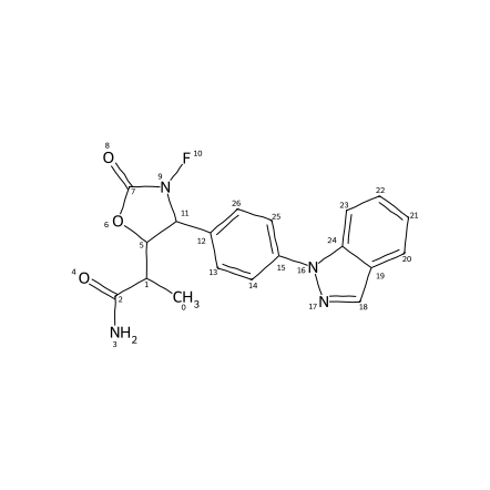 CC(C(N)=O)C1OC(=O)N(F)C1c1ccc(-n2ncc3ccccc32)cc1